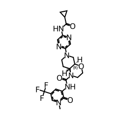 Cn1cc(C(F)(F)F)cc(NC(=O)N2CCO[C@@H]3CN(c4cnc(NC(=O)C5CC5)cn4)CC[C@H]32)c1=O